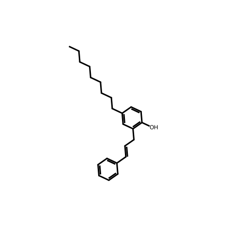 CCCCCCCCCc1ccc(O)c(CC=Cc2ccccc2)c1